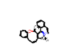 C=C1Oc2ccccc2C/C=C\C(C)=C/1c1c2ccccc2cc[n+]1C